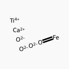 [Ca+2].[O-2].[O-2].[O-2].[O]=[Fe].[Ti+4]